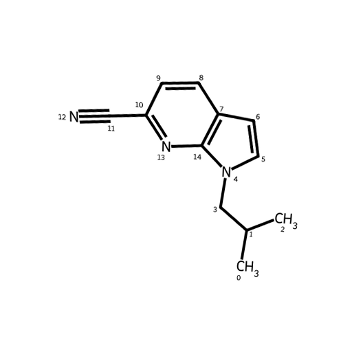 CC(C)Cn1ccc2ccc(C#N)nc21